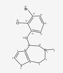 CN1CCc2sccc2C(Oc2cccc(Br)c2Cl)C1